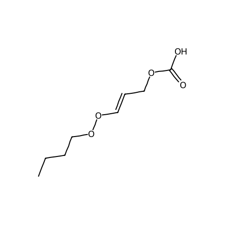 CCCCOOC=CCOC(=O)O